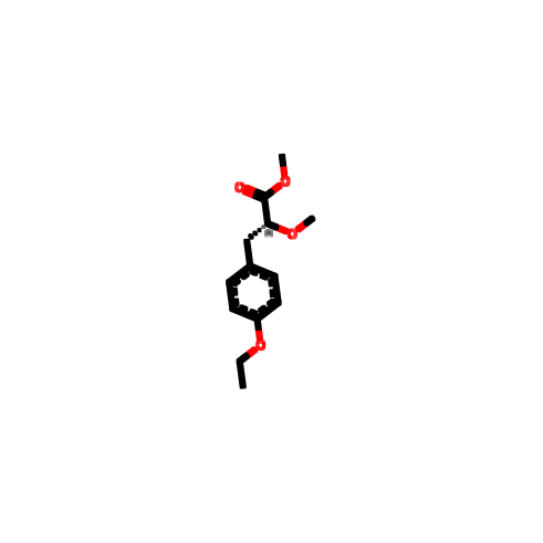 CCOc1ccc(C[C@@H](OC)C(=O)OC)cc1